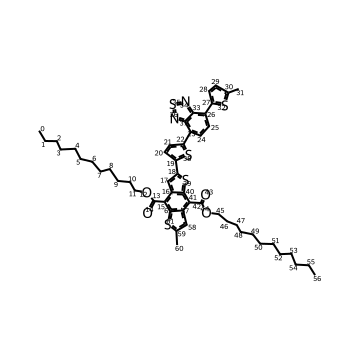 CCCCCCCCCCCCOC(=O)c1c2cc(-c3ccc(-c4ccc(-c5ccc(C)s5)c5nsnc45)s3)sc2c(C(=O)OCCCCCCCCCCCC)c2cc(C)sc12